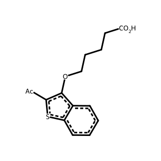 CC(=O)c1sc2ccccc2c1OCCCCC(=O)O